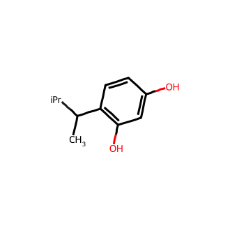 CC(C)C(C)c1ccc(O)cc1O